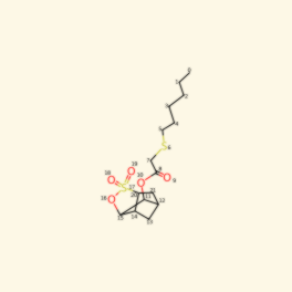 CCCCCCSCC(=O)OC1C2CC3C1OS(=O)(=O)C3C2